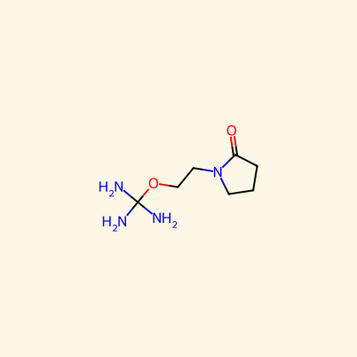 NC(N)(N)OCCN1CCCC1=O